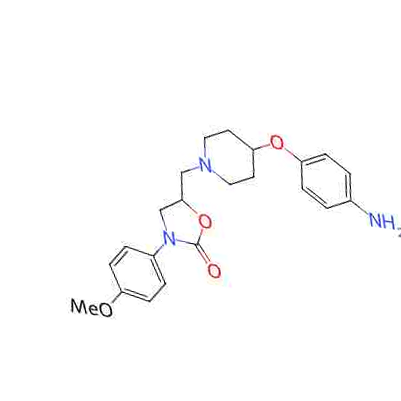 COc1ccc(N2CC(CN3CCC(Oc4ccc(N)cc4)CC3)OC2=O)cc1